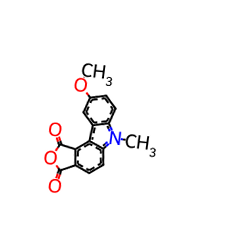 COc1ccc2c(c1)c1c3c(ccc1n2C)C(=O)OC3=O